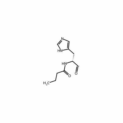 CCCC(=O)N[C@@H]([C]=O)Cc1cnc[nH]1